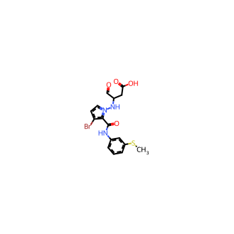 CSc1cccc(NC(=O)c2c(Br)ccn2NC(C=O)CC(=O)O)c1